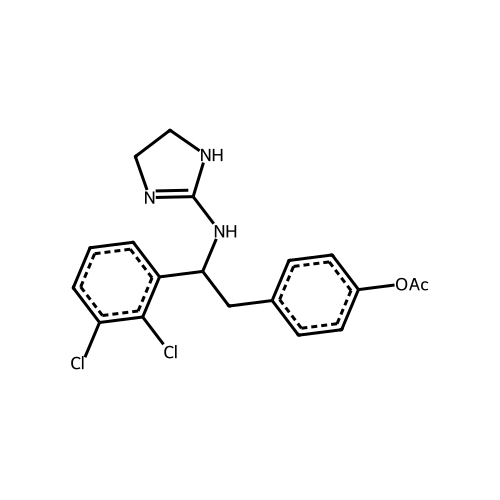 CC(=O)Oc1ccc(CC(NC2=NCCN2)c2cccc(Cl)c2Cl)cc1